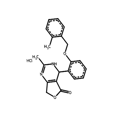 CC1=NC2=C(C(=O)OC2)C(c2ccccc2OCc2ccccc2C)N1.Cl